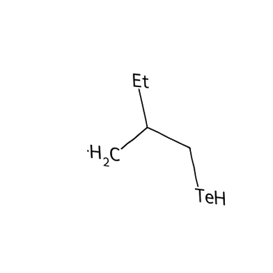 [CH2]C(CC)C[TeH]